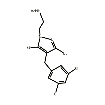 CCc1nn(CCNC(C)=O)c(CC)c1Cc1cc(Cl)cc(Cl)c1